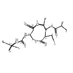 CC(C)C(=O)OC1C(C)OC(=O)C(NC(=O)OC(C)(C)C)COC(=O)C1CI